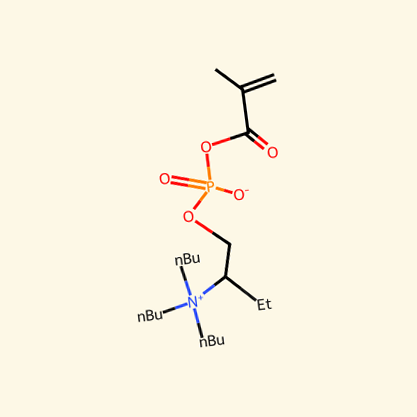 C=C(C)C(=O)OP(=O)([O-])OCC(CC)[N+](CCCC)(CCCC)CCCC